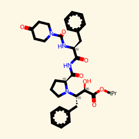 CC(C)OC(=O)[C@H](O)[C@H](Cc1ccccc1)N1CCC[C@H]1C(=O)NC(=O)[C@H](Cc1ccccc1)NC(=O)N1CCC(=O)CC1